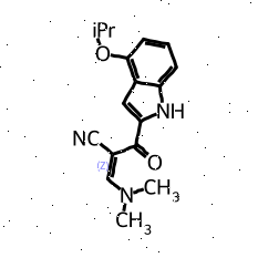 CC(C)Oc1cccc2[nH]c(C(=O)/C(C#N)=C\N(C)C)cc12